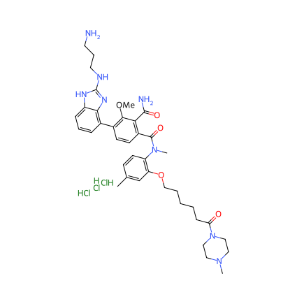 COc1c(-c2cccc3[nH]c(NCCCN)nc23)ccc(C(=O)N(C)c2ccc(C)cc2OCCCCCC(=O)N2CCN(C)CC2)c1C(N)=O.Cl.Cl.Cl